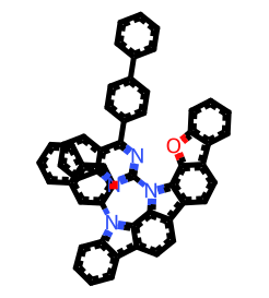 c1ccc(-c2ccc(-c3nc(-n4c5c(ccc6c7ccccc7oc65)c5ccc6c7ccccc7n(-c7ccc8ccccc8c7)c6c54)nc4ccccc34)cc2)cc1